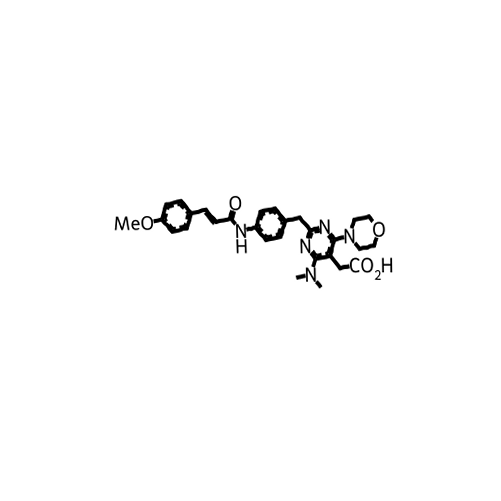 COc1ccc(/C=C/C(=O)Nc2ccc(Cc3nc(N(C)C)c(CC(=O)O)c(N4CCOCC4)n3)cc2)cc1